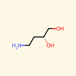 NCC[C@@H](O)CO